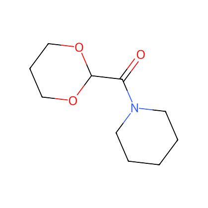 O=C(C1OCCCO1)N1CCCCC1